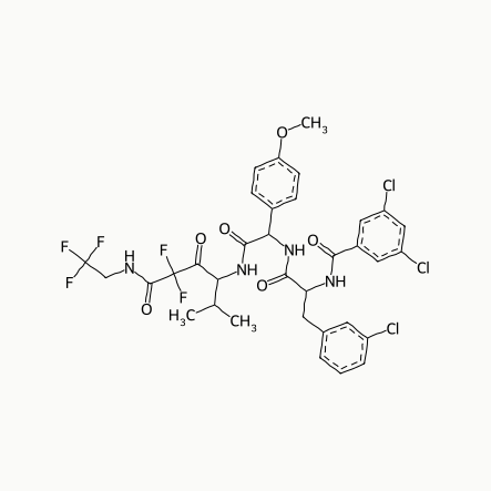 COc1ccc(C(NC(=O)C(Cc2cccc(Cl)c2)NC(=O)c2cc(Cl)cc(Cl)c2)C(=O)NC(C(=O)C(F)(F)C(=O)NCC(F)(F)F)C(C)C)cc1